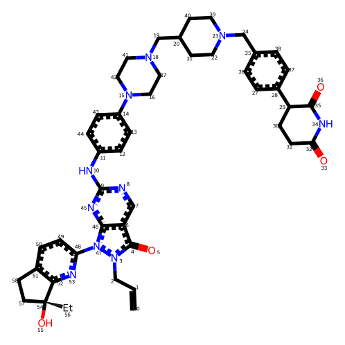 C=CCn1c(=O)c2cnc(Nc3ccc(N4CCN(CC5CCN(Cc6ccc(C7CCC(=O)NC7=O)cc6)CC5)CC4)cc3)nc2n1-c1ccc2c(n1)[C@@](O)(CC)CC2